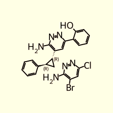 Nc1nnc(-c2ccccc2O)cc1[C@@H]1C[C@H]1c1ccccc1.Nc1nnc(Cl)cc1Br